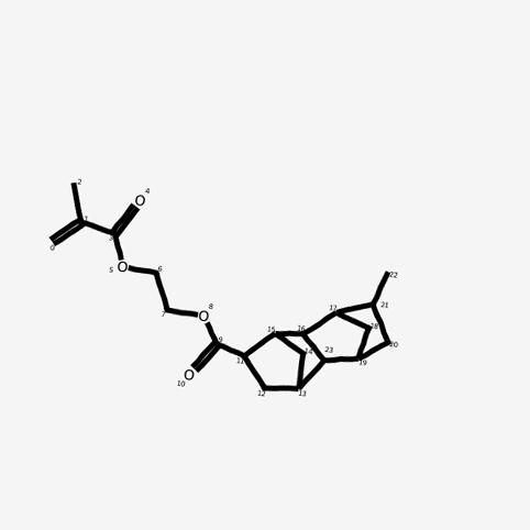 C=C(C)C(=O)OCCOC(=O)C1CC2CC1C1C3CC(CC3C)C21